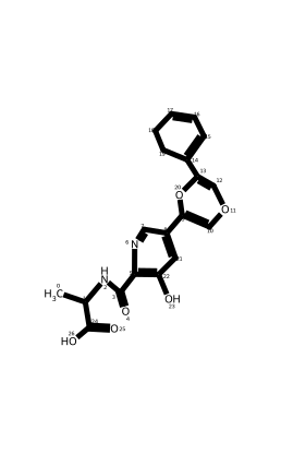 CC(NC(=O)c1ncc(C2=COC=C(C3=CC=CCC3)O2)cc1O)C(=O)O